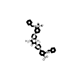 CC(C(=O)C(C)N1CCN(c2ccc([N+](=O)[O-])c(NCc3ccccc3)c2)CC1)N1CCN(c2ccc([N+](=O)[O-])c(NCc3ccccc3)c2)CC1